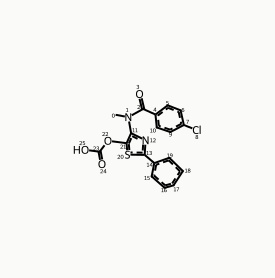 CN(C(=O)c1ccc(Cl)cc1)c1nc(-c2ccccc2)sc1OC(=O)O